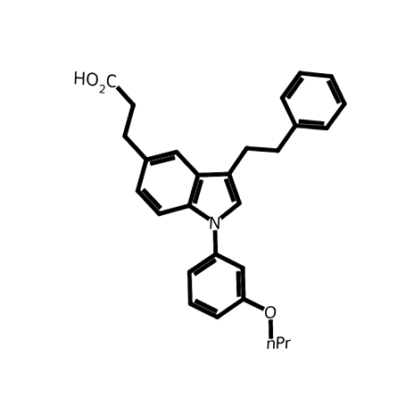 CCCOc1cccc(-n2cc(CCc3ccccc3)c3cc(CCC(=O)O)ccc32)c1